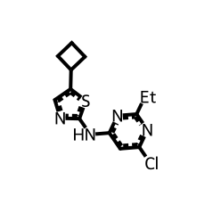 CCc1nc(Cl)cc(Nc2ncc(C3CCC3)s2)n1